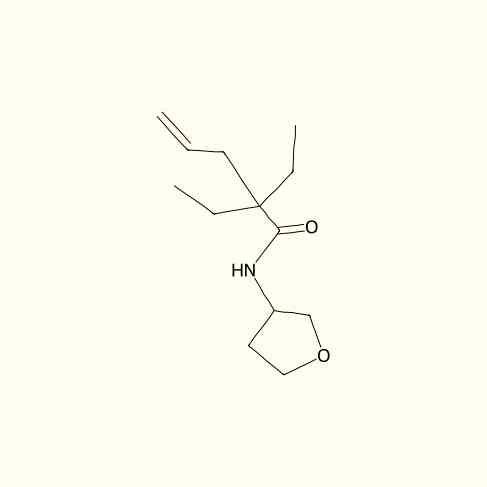 C=CCC(CC)(CC)C(=O)NC1CCOC1